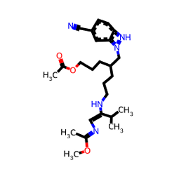 CO/C(C)=N/C=C(/NCCCC(CCCOC(C)=O)Cn1[nH]c2ccc(C#N)cc21)C(C)C